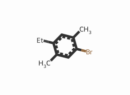 CCc1cc(C)c(Br)cc1C